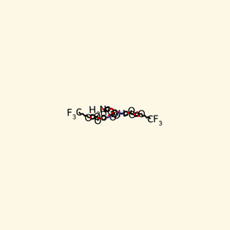 Nc1ccc(CC(CC(=O)/C=C/c2ccc(C(=O)Oc3ccc(OCCCCC(F)(F)F)cc3)cc2)C(O)(O)C(=O)/C=C/c2ccc(C(=O)Oc3ccc(OCCCCC(F)(F)F)cc3)cc2)cc1